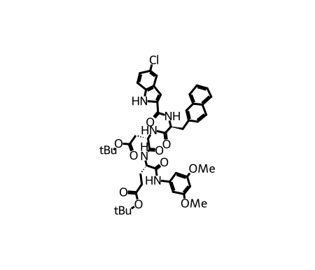 COc1cc(NC(=O)[C@H](CCC(=O)OC(C)(C)C)NC(=O)[C@H](CC(=O)OC(C)(C)C)NC(=O)[C@H](Cc2ccc3ccccc3c2)NC(=O)c2cc3cc(Cl)ccc3[nH]2)cc(OC)c1